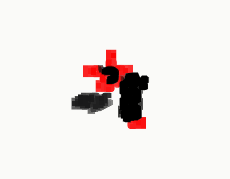 C=C(C)[C@@H]1CC[C@]2(CO[C@@H]3[C@@H](O)[C@@H](O)[C@@H](CO)O[C@H]3O)CC[C@]3(C)[C@H](CC[C@@H]4[C@@]5(C)CCC(O)C(C)(C)[C@@H]5CC[C@]43C)[C@@H]12.CC(=O)O.CC(=O)O.CC(=O)O.CC(=O)O